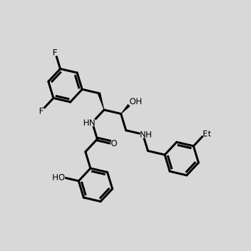 CCc1cccc(CNC[C@H](O)[C@H](Cc2cc(F)cc(F)c2)NC(=O)Cc2ccccc2O)c1